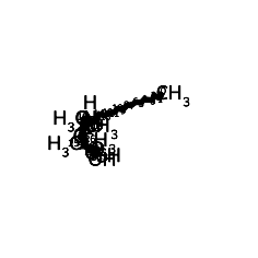 CCCCCCCCCCCCCCCC(=O)NC(C)(C)CCOC(C)(C)CCOP(=O)(O)S